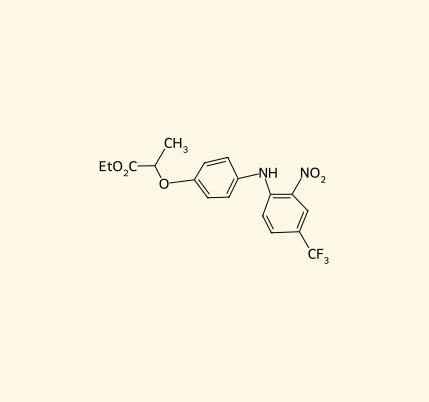 CCOC(=O)C(C)Oc1ccc(Nc2ccc(C(F)(F)F)cc2[N+](=O)[O-])cc1